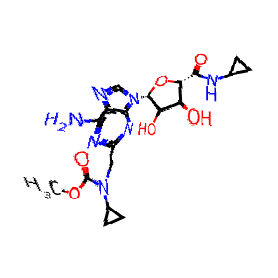 COC(=O)N(Cc1nc(N)c2ncn([C@@H]3O[C@H](C(=O)NC4CC4)C(O)C3O)c2n1)C1CC1